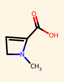 CN1CC=C1C(=O)O